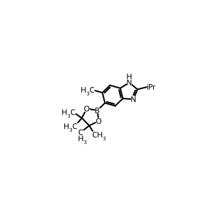 Cc1cc2[nH]c(C(C)C)nc2cc1B1OC(C)(C)C(C)(C)O1